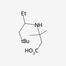 CCC(CC(C)(C)C)NC(C)(C)CC(=O)O